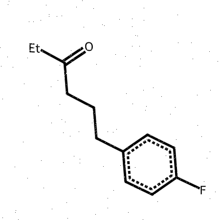 CCC(=O)CCCc1ccc(F)cc1